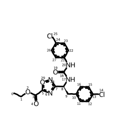 CCOC(=O)c1nc([C@H](Cc2ccc(Cl)cc2)NC(=O)Nc2ccc(Cl)cc2)no1